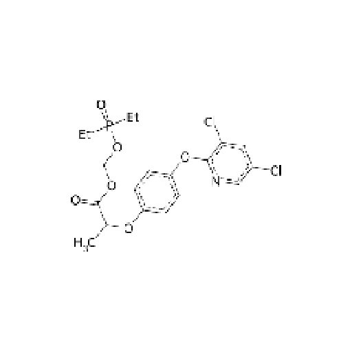 CCP(=O)(CC)OCOC(=O)C(C)Oc1ccc(Oc2ncc(Cl)cc2Cl)cc1